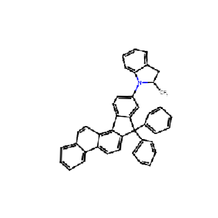 FC(F)(F)C1Cc2ccccc2N1c1ccc2c(c1)C(c1ccccc1)(c1ccccc1)c1ccc3c(ccc4ccccc43)c1-2